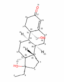 CCC1(O)CC[C@H]2[C@@H]3CCC4=CC(=O)CC[C@]4(CO)[C@@H]3CC[C@@]21C